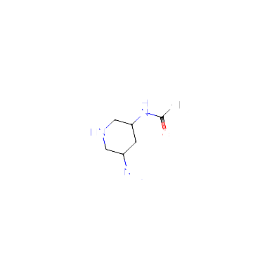 NC1CNCC(NC(=O)C(F)(F)F)C1